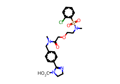 CN(Cc1ccc(C2=NCCN2C(=O)O)cc1)C(=O)COCCN(C)S(=O)(=O)c1ccccc1Cl